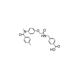 Cc1ccc(C(=O)N(C)c2ccc(OCC(=O)NCc3ccc(C(=O)O)cc3)cc2)cc1